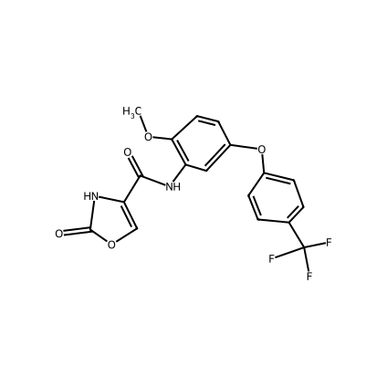 COc1ccc(Oc2ccc(C(F)(F)F)cc2)cc1NC(=O)c1coc(=O)[nH]1